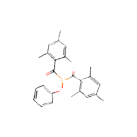 Cc1cc(C)c(C(=O)P(Oc2ccccc2)C(=O)c2c(C)cc(C)cc2C)c(C)c1